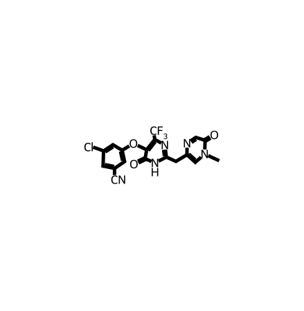 Cn1cc(Cc2nc(C(F)(F)F)c(Oc3cc(Cl)cc(C#N)c3)c(=O)[nH]2)ncc1=O